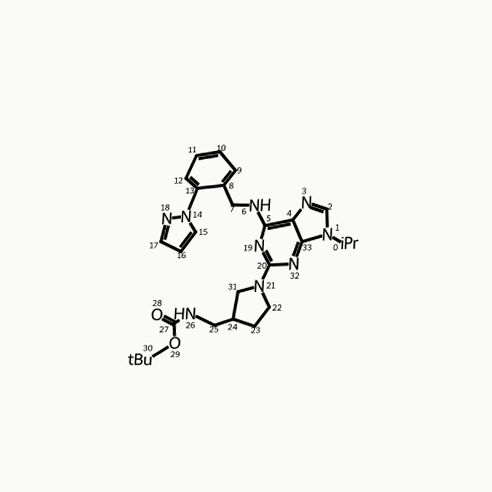 CC(C)n1cnc2c(NCc3ccccc3-n3cccn3)nc(N3CCC(CNC(=O)OC(C)(C)C)C3)nc21